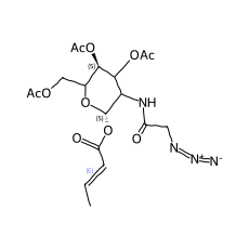 C/C=C/C(=O)O[C@@H]1OC(COC(C)=O)[C@@H](OC(C)=O)C(OC(C)=O)C1NC(=O)CN=[N+]=[N-]